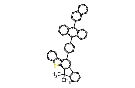 CC1(C)c2ccccc2-c2cc(-c3ccc(-c4c5ccccc5c(-c5ccc6ccccc6c5)c5ccccc45)cc3)c3c(sc4ccccc43)c21